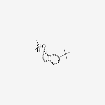 C[SiH](C)On1ccc2ccc(C(C)(C)C)cc21